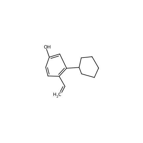 C=Cc1ccc(O)cc1C1CCCCC1